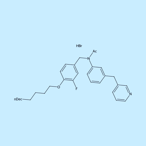 Br.CCCCCCCCCCCCCCOc1ccc(CN(C(C)=O)c2cccc(Cc3cccnc3)c2)cc1F